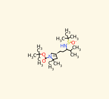 CC(C)C(CC[C@@H]1CN(C(=O)OC(C)(C)C)C(C)(C)C1)N[S+]([O-])C(C)(C)C